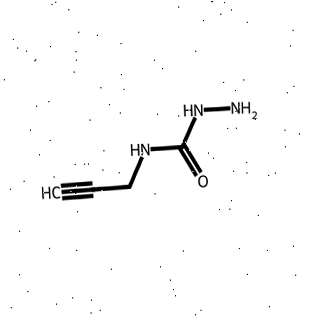 C#CCNC(=O)NN